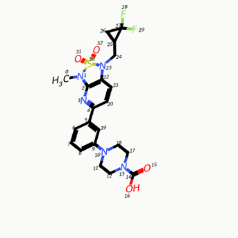 CN1c2nc(-c3cccc(N4CCN(C(=O)O)CC4)c3)ccc2N(CC2CC2(F)F)S1(=O)=O